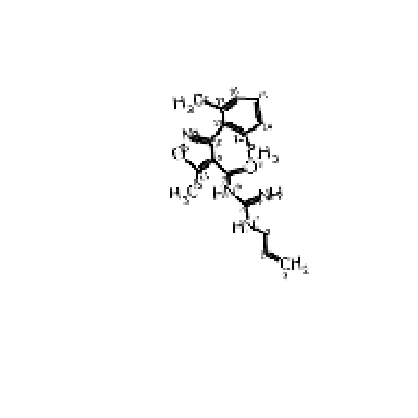 C=CCNC(=N)NC(=O)c1c(-c2c(C)cccc2C)noc1C